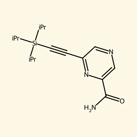 CC(C)[Si](C#Cc1cncc(C(N)=O)n1)(C(C)C)C(C)C